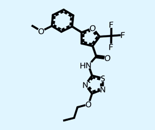 CCCOc1nsc(NC(=O)c2cc(-c3cccc(OC)c3)oc2C(F)(F)F)n1